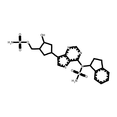 NS(=O)(=O)OCC1CC(c2csc3c(N(C4CCc5ccccc54)S(N)(=O)=O)ncnc23)CC1O